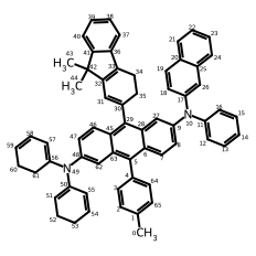 Cc1ccc(-c2c3ccc(N(c4ccccc4)c4ccc5ccccc5c4)cc3c(C3=CC4=C(CC3)c3ccccc3C4(C)C)c3ccc(N(C4=CCCC=C4)C4=CC=CCC4)cc23)cc1